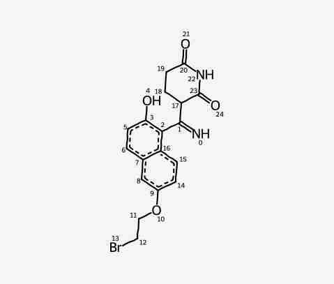 N=C(c1c(O)ccc2cc(OCCBr)ccc12)C1CCC(=O)NC1=O